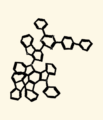 c1ccc(-c2ccc(-c3nc(-c4ccccc4)nc(-c4ccc(-n5c6ccccc6c6c7c(c8c(c9ccccc9n8-c8ccccc8)c65)-c5ccccc5C75c6ccccc6-c6ccccc65)c5oc6ccccc6c45)n3)cc2)cc1